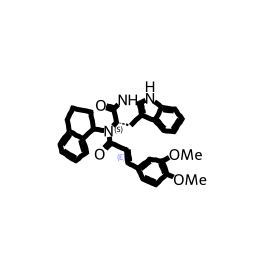 COc1ccc(/C=C/C(=O)N(C2CCCc3ccccc32)[C@@H](Cc2c[nH]c3ccccc23)C(N)=O)cc1OC